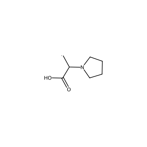 [CH2]C(C(=O)O)N1CCCC1